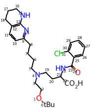 CC(C)(C)OCCN(CCCCc1ccc2c(n1)NCCC2)CCC(NC(=O)c1ccccc1Cl)C(=O)O